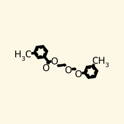 Cc1cccc(OCOCCOC(=O)c2cccc(C)c2)c1